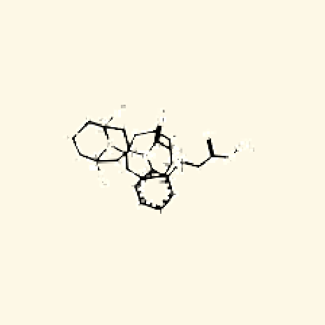 COC(=O)CNc1ccccc1N(C(C)=O)C1C[C@H]2CCC[C@@H](C1)N2C1CCCCCCC1